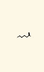 [CH]=C(C[CH2])CCCCCCCC